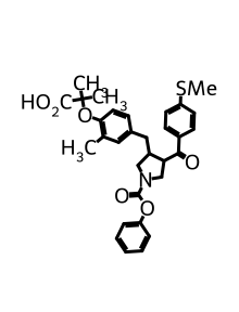 CSc1ccc(C(=O)C2CN(C(=O)Oc3ccccc3)CC2Cc2ccc(OC(C)(C)C(=O)O)c(C)c2)cc1